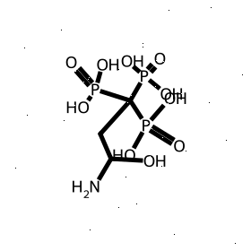 NC(O)CC(P(=O)(O)O)(P(=O)(O)O)P(=O)(O)O